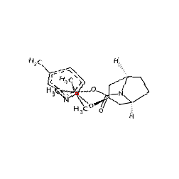 Cc1ccc(O[C@H]2C[C@H]3CC[C@@H](C2)N3C(=O)OC(C)(C)C)nc1